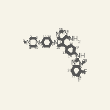 CN1CCN([C@H]2CC[C@@H](n3cc(-c4ccc(Nc5nc6ccc(F)c(F)c6n5C)cc4)c4c(N)ncnc43)CC2)CC1